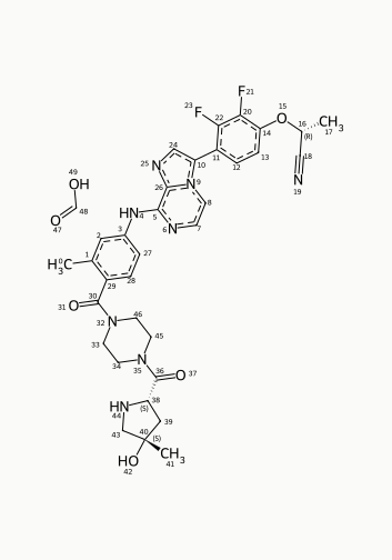 Cc1cc(Nc2nccn3c(-c4ccc(O[C@H](C)C#N)c(F)c4F)cnc23)ccc1C(=O)N1CCN(C(=O)[C@@H]2C[C@](C)(O)CN2)CC1.O=CO